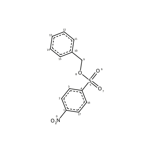 O=[N+]([O-])c1ccc(S(=O)(=O)OCc2ccccc2)cc1